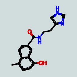 Cc1ccc(O)c2cc(C(=O)NCCc3c[nH]cn3)ccc12